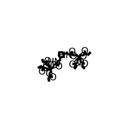 C=CC(=O)OCC(COC(=O)C=C)(COC(=O)C=C)COC(=O)NCc1cccc(CNC(=O)OCC(COC(=O)C=C)(COC(=O)C=C)COC(=O)C=C)c1